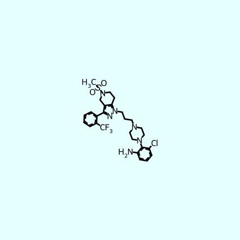 CS(=O)(=O)N1CCc2c(c(-c3ccccc3C(F)(F)F)nn2CCCN2CCN(c3c(N)cccc3Cl)CC2)C1